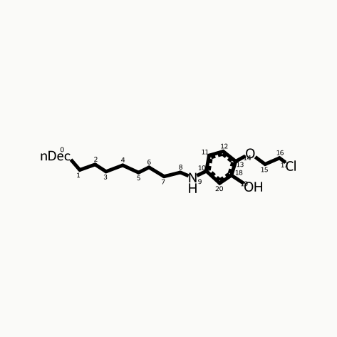 CCCCCCCCCCCCCCCCCCNc1ccc(OCCCl)c(O)c1